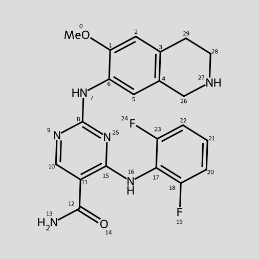 COc1cc2c(cc1Nc1ncc(C(N)=O)c(Nc3c(F)cccc3F)n1)CNCC2